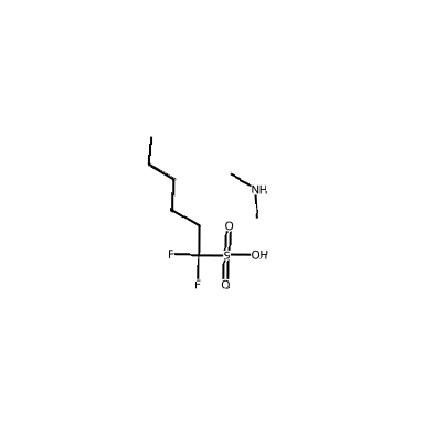 CCCCCC(F)(F)S(=O)(=O)O.CNC